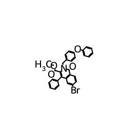 COC(=O)c1c(-c2ccccc2)c2cc(Br)ccc2c(=O)n1Cc1ccc(Oc2ccccc2)cc1